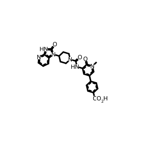 Cn1cc(-c2ccc(C(=O)O)cc2)cc(NC(=O)N2CCC(n3c(=O)[nH]c4ncccc43)CC2)c1=O